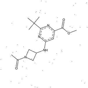 COC(=O)c1cc(NC2CN(C(C)=O)C2)nc(C(C)(C)C)n1